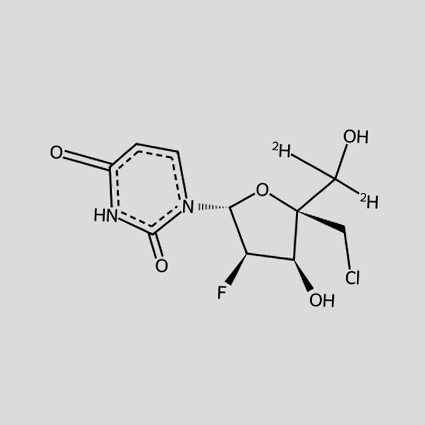 [2H]C([2H])(O)[C@@]1(CCl)O[C@@H](n2ccc(=O)[nH]c2=O)[C@H](F)[C@@H]1O